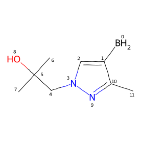 Bc1cn(CC(C)(C)O)nc1C